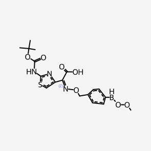 COOBc1ccc(CO/N=C(\C(=O)O)c2csc(NC(=O)OC(C)(C)C)n2)cc1